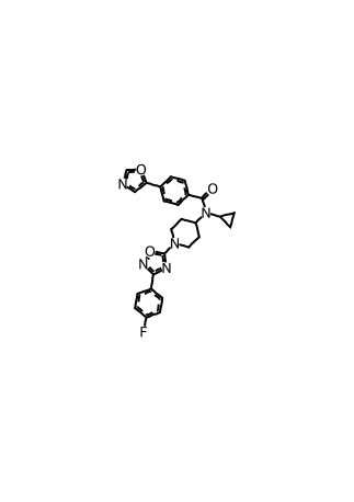 O=C(c1ccc(-c2cnco2)cc1)N(C1CC1)C1CCN(c2nc(-c3ccc(F)cc3)no2)CC1